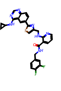 O=C(NCc1ccc(F)c(F)c1)c1cccnc1NCc1csc(-c2ccc3ncnc(NC4CC4)c3c2)n1